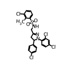 Cc1c(Cl)cccc1S(=O)(=O)NCC1=NN(c2ccc(Cl)cc2Cl)C(c2ccc(Cl)cc2)C1